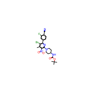 Cc1c(Br)c(-c2ccc(C#N)c(F)c2)nc(N2CCC(NC(=O)OC(C)(C)C)CC2)c1[N+](=O)[O-]